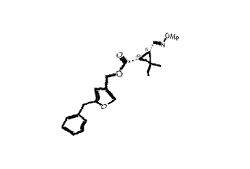 CON=C[C@H]1[C@@H](C(=O)OCc2coc(Cc3ccccc3)c2)C1(C)C